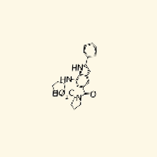 O=C(O)[C@H]1CCCN1C(=O)c1cc(NC2CCOCC2)c2[nH]c(-c3ccccc3)cc2c1